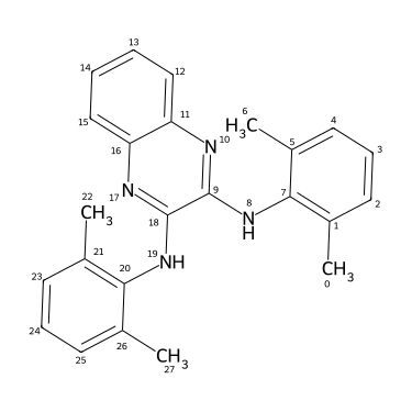 Cc1cccc(C)c1Nc1nc2ccccc2nc1Nc1c(C)cccc1C